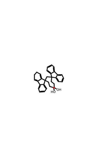 OCCCC1(CC2(CCCO)c3ccccc3-c3ccccc32)C2=CCCC=C2c2ccccc21